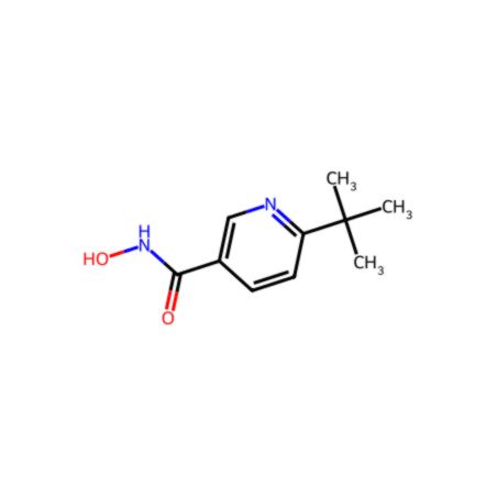 CC(C)(C)c1ccc(C(=O)NO)cn1